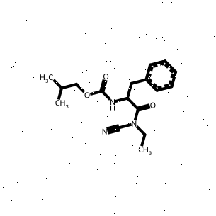 CCN(C#N)C(=O)C(Cc1ccccc1)NC(=O)OCC(C)C